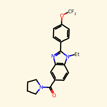 CCn1c(-c2ccc(OC(F)(F)F)cc2)nc2cc(C(=O)N3CCCC3)ccc21